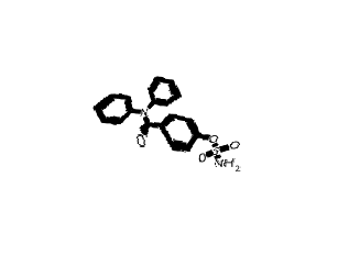 NS(=O)(=O)Oc1ccc(C(=O)N(c2ccccc2)c2ccccc2)cc1